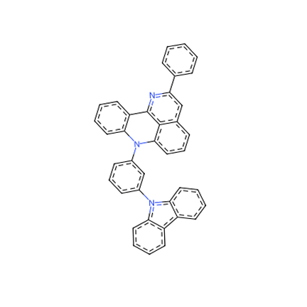 c1ccc(-c2cc3cccc4c3c(n2)-c2ccccc2N4c2cccc(-n3c4ccccc4c4ccccc43)c2)cc1